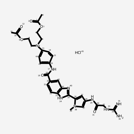 CC(=O)OCCN(CCOC(C)=O)c1ccc(NC(=O)c2ccc3[nH]c(-c4cc(NC(=O)CNC(=N)N)cn4C)nc3c2)cc1.Cl